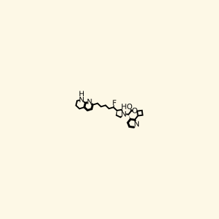 O=C(O)[C@H](c1cccnc1C1CCC1)N1CC[C@@H]([C@H](F)CCCCc2ccc3c(n2)NCCC3)C1